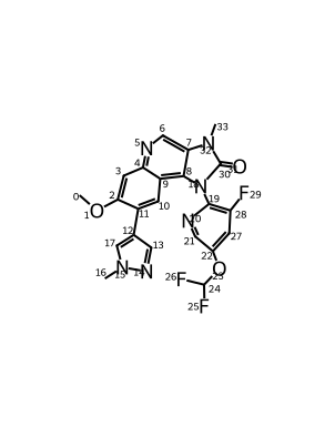 COc1cc2ncc3c(c2cc1-c1cnn(C)c1)n(-c1ncc(OC(F)F)cc1F)c(=O)n3C